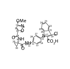 COc1cc(C(=O)NC2(C(=O)NCc3ccc(-n4c(C(=O)O)c(Cl)c5ccccc54)cc3)CC2)on1